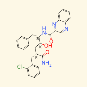 NC(=O)[C@H](Cc1ccccc1Cl)C[C@H](O)[C@H](Cc1ccccc1)NC(=O)c1cnc2ccccc2n1